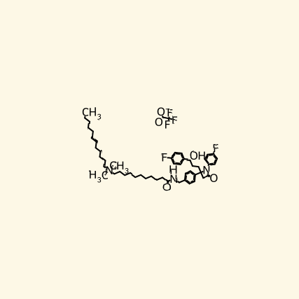 CCCCCCCCCCCC[N+](C)(C)CCCCCCCCCCC(=O)NCc1ccc(C2(CCC(O)c3ccc(F)cc3)CC(=O)N2c2ccc(F)cc2)cc1.O=C([O-])C(F)(F)F